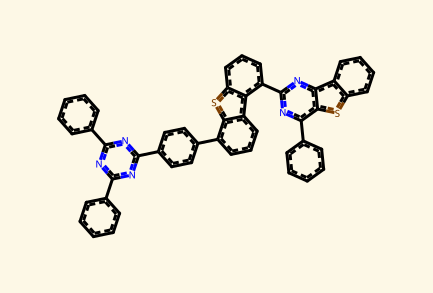 c1ccc(-c2nc(-c3ccccc3)nc(-c3ccc(-c4cccc5c4sc4cccc(-c6nc(-c7ccccc7)c7sc8ccccc8c7n6)c45)cc3)n2)cc1